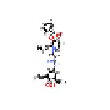 Cc1c(OCc2ccccc2)c(=O)ccn1CCNCc1cc(C(C)(C)C)c(O)c(C(C)(C)C)c1